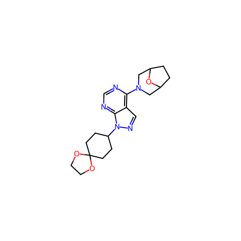 c1nc(N2CC3CCC(C2)O3)c2cnn(C3CCC4(CC3)OCCO4)c2n1